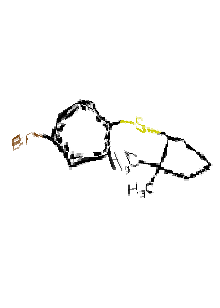 CC1(C)CCCC1Sc1ccc(Br)cc1